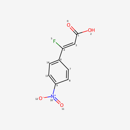 O=C(O)C=C(F)c1ccc([N+](=O)[O-])cc1